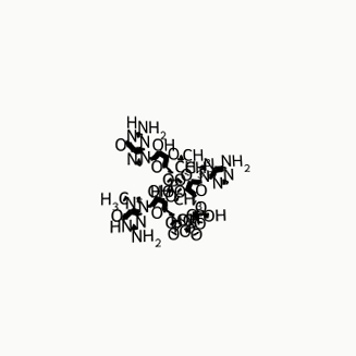 COC1[C@@H](OP(=O)(O)OC[C@H]2O[C@@H](n3cnc4c(=O)[nH]c(N)nc43)C(O)[C@H]2OC(C)C)[C@@H](COP(=O)(O)OP(=O)(O)OP(=O)(O)OC[C@H]2O[C@@H](n3c[n+](C)c4c(=O)[nH]c(N)nc43)[C@@H](O)C2OC)O[C@H]1n1cnc2c(N)ncnc21